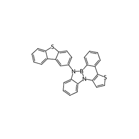 c1ccc2c(c1)B1N(c3ccc4sc5ccccc5c4c3)c3ccccc3N1c1ccsc1-2